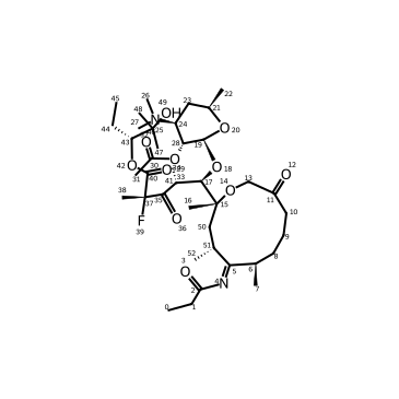 CCC(=O)/N=C1/[C@H](C)CCCC(=O)CO[C@@](C)([C@H](O[C@@H]2O[C@H](C)C[C@H](N(C)C)[C@H]2OC(C)=O)[C@@H](C)C(=O)[C@](C)(F)C(=O)O[C@H](CC)C(C)(C)O)C[C@H]1C